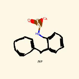 O=[SH](=O)Nc1ccccc1Cc1ccccc1.[Na]